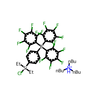 CCCC[NH+](CCCC)CCCC.CC[Si](Cl)(CC)c1ccc([B-](c2c(F)c(F)c(F)c(F)c2F)(c2c(F)c(F)c(F)c(F)c2F)c2c(F)c(F)c(F)c(F)c2F)cc1